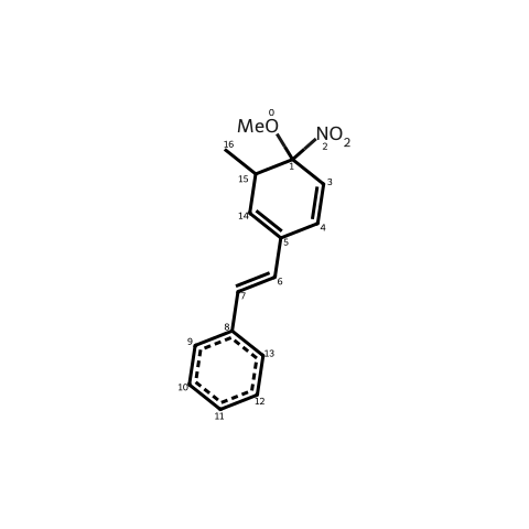 COC1([N+](=O)[O-])C=CC(C=Cc2ccccc2)=CC1C